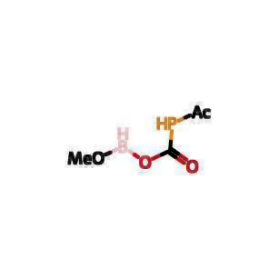 COBOC(=O)PC(C)=O